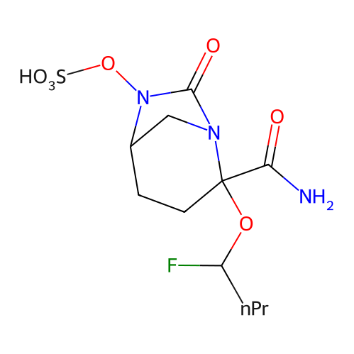 CCCC(F)OC1(C(N)=O)CCC2CN1C(=O)N2OS(=O)(=O)O